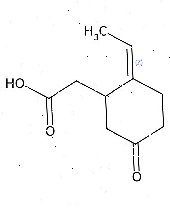 C/C=C1/CCC(=O)CC1CC(=O)O